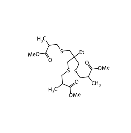 CCC(CSCC(C)C(=O)OC)(CSCC(C)C(=O)OC)CSCC(C)C(=O)OC